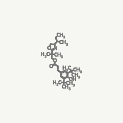 CCC(C)C1COC(C(C)(C)COC(=O)CCc2cc(C(C)(C)C)c(O)c(C(C)(C)C)c2)=N1